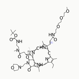 CCC1=C(C)c2cc3[nH]c(cc4nc(c5c6[nH]c(cc1n2)c(C)c6C(=O)N(CCN1CCOCC1)C5=O)[C@@H](CCC(=O)N(C)CCNC(=O)OC(C)(C)C)[C@@H]4C)c(C)c3/C=C/C(=O)NCCOCCOCCOC